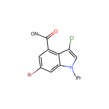 CC(C)n1cc(Cl)c2c(C(=O)N=O)cc(Br)cc21